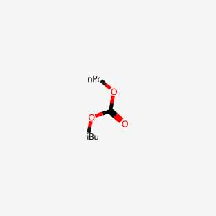 [CH2]CCOC(=O)OC(C)CC